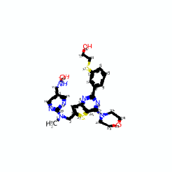 CN(Cc1cc2nc(-c3cccc(SCCO)c3)nc(N3CCOCC3)c2s1)c1ncc(CNO)cn1